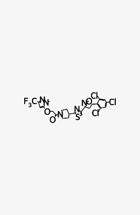 Cn1nc(C(F)(F)F)cc1OCC(=O)N1CCC(c2nc(C3=NOC(c4c(Cl)cc(Cl)cc4Cl)C3)cs2)CC1